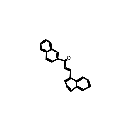 O=C(C=Cc1cccc2ccccc12)c1ccc2ccccc2c1